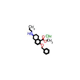 CCCNC1CCc2c(ccc(OCc3ccccc3)c2C(=O)OC)C1.Cl